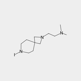 CN(C)CCN1CC2(CCN(I)CC2)C1